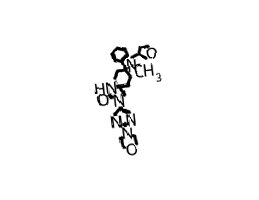 CN(CC1CCOC1)[C@]1(c2ccccc2)CC[C@]2(CC1)CN(c1cnc(N3CCOCC3)nc1)C(=O)N2